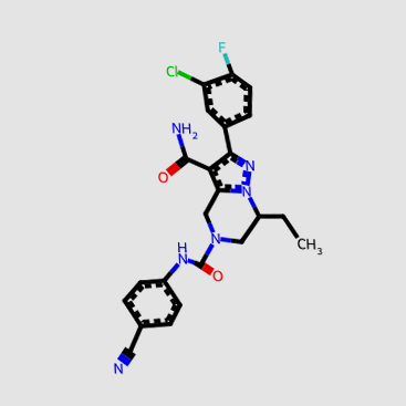 CCC1CN(C(=O)Nc2ccc(C#N)cc2)Cc2c(C(N)=O)c(-c3ccc(F)c(Cl)c3)nn21